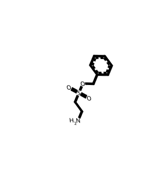 NCCS(=O)(=O)OCc1ccccc1